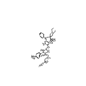 CCCCC1(CCCC)CN(c2ccccc2)c2cc(SC)c(OCC(=O)N[C@@H](C(=O)NC[C@@H](C)CC(=O)O)c3ccc(O)cc3)cc2S(=O)(=O)N1